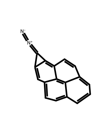 [N-]=[N+]=c1c2cc3ccc4cccc5ccc(c12)c3c45